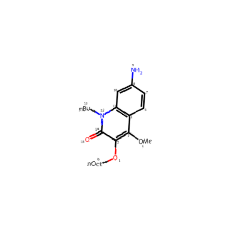 CCCCCCCCOc1c(OC)c2ccc(N)cc2n(CCCC)c1=O